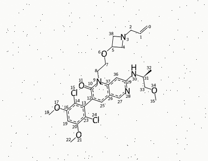 C=CCN1CC(OCCn2c(=O)c(-c3c(Cl)c(OC)cc(OC)c3Cl)cc3cnc(N[C@@H](C)COC)cc32)C1